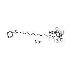 O=P([O-])(O)C(NCCCCCCCCCCCCSc1ccccc1)P(=O)(O)O.[Na+]